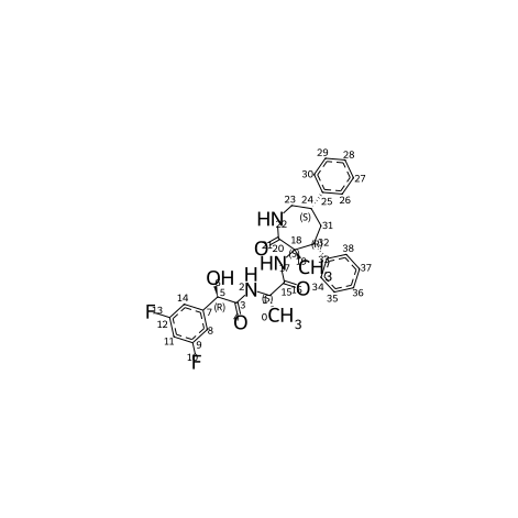 C[C@H](NC(=O)[C@H](O)c1cc(F)cc(F)c1)C(=O)N[C@]1(C)C(=O)NC[C@H](c2ccccc2)C[C@@H]1c1ccccc1